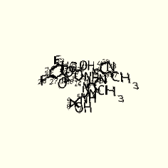 Cc1nc(NCC2(O)CC2)nc(N[C@@H]2C[C@H](CS(=O)(=O)c3cc(F)cc(F)c3)[C@@H](O)[C@H]2O)c1-c1nc2c(C)nccc2s1